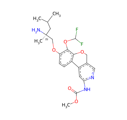 COC(=O)Nc1cc2c(cn1)COc1c-2ccc(OC[C@@](C)(N)CC(C)C)c1OC(F)F